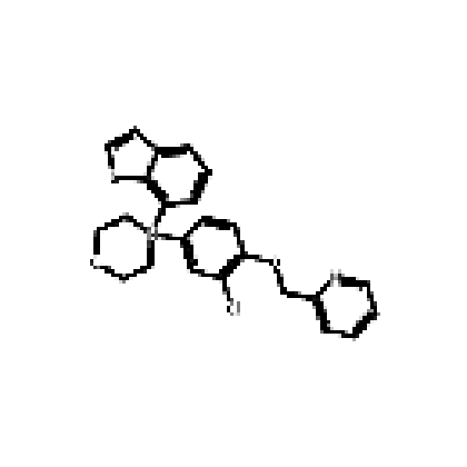 Clc1cc([N+]2(c3cccc4ccsc34)CCOCC2)ccc1OCc1ccccn1